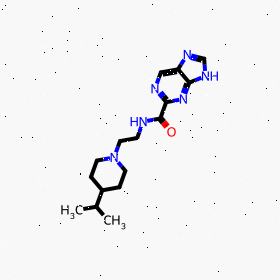 CC(C)C1CCN(CCNC(=O)c2ncc3nc[nH]c3n2)CC1